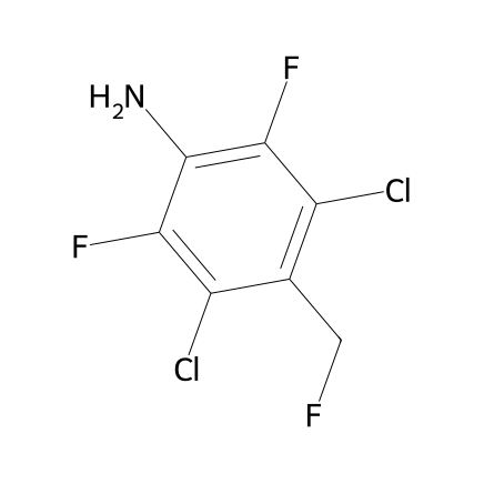 Nc1c(F)c(Cl)c(CF)c(Cl)c1F